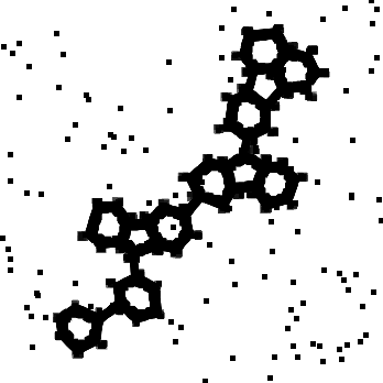 c1ccc(-c2cccc(-n3c4ccccc4c4cc(-c5ccc6c(c5)c5ccccc5n6-c5cc6c(cn5)-c5cccc7ccnc-6c57)ccc43)c2)cc1